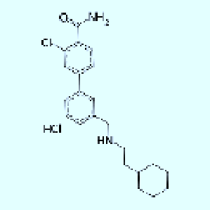 Cl.NC(=O)c1ccc(-c2cccc(CNCCC3CCCCC3)c2)cc1Cl